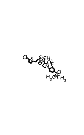 CN(C)C(=O)c1ccc(N2CC[C@H](N(C)S(=O)(=O)C=Cc3ccc(Cl)s3)C2=O)c(F)c1